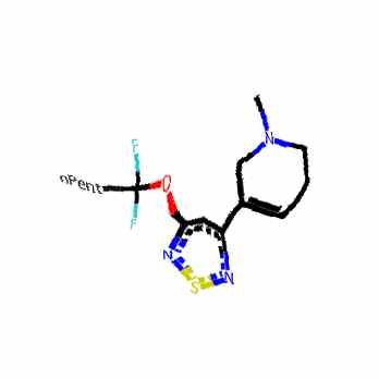 CCCCCC(F)(F)Oc1nsnc1C1=CCCN(C)C1